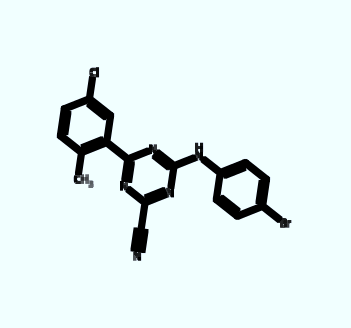 Cc1ccc(Cl)cc1-c1nc(C#N)nc(Nc2ccc(Br)cc2)n1